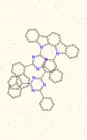 c1ccc(-c2nc(-c3ccccc3)nc(-c3ccc(-n4c5ccccc5c5ccc6c7ccccc7n(-c7nc(-c8ccccc8)nc(-c8cccc9c8ccc8ccccc89)n7)c6c54)cc3)n2)cc1